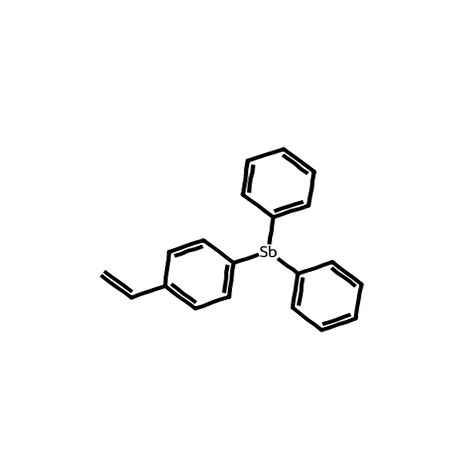 C=Cc1cc[c]([Sb]([c]2ccccc2)[c]2ccccc2)cc1